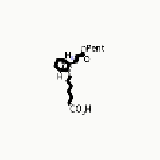 CCCCCC(=O)/C=C/[C@H]1[C@H](CCCCCCC(=O)O)[C@H]2CC[C@@H]1O2